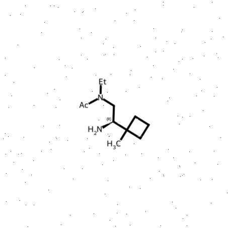 CCN(C[C@H](N)C1(C)CCC1)C(C)=O